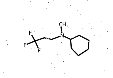 CN(CCC(F)(F)F)C1CCCCC1